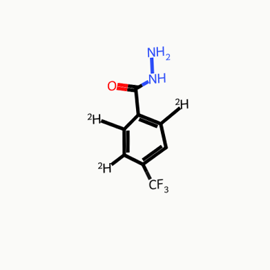 [2H]c1cc(C(F)(F)F)c([2H])c([2H])c1C(=O)NN